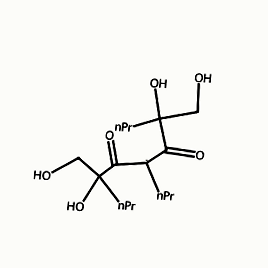 [CH2]CC[C](C(=O)C(O)(CO)CCC)C(=O)C(O)(CO)CCC